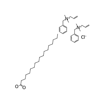 C=CC[N+](C)(C)Cc1ccccc1.C=CC[N+](C)(C)Cc1ccccc1.CCCCCCCCCCCCCCCCCC(=O)[O-].[Cl-]